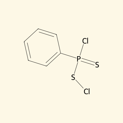 S=P(Cl)(SCl)c1ccccc1